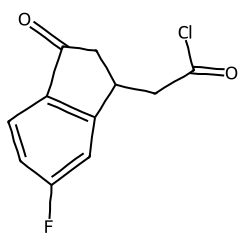 O=C(Cl)CC1CC(=O)c2ccc(F)cc21